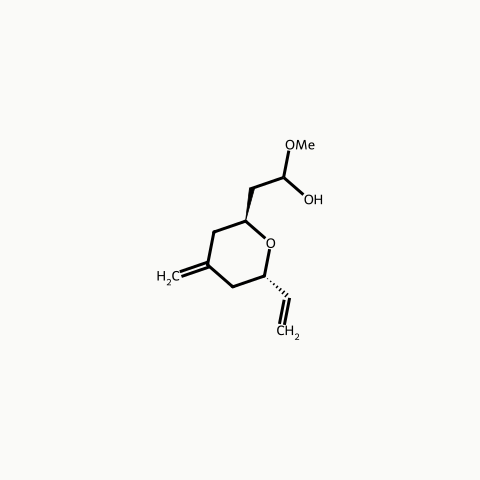 C=C[C@@H]1CC(=C)C[C@@H](CC(O)OC)O1